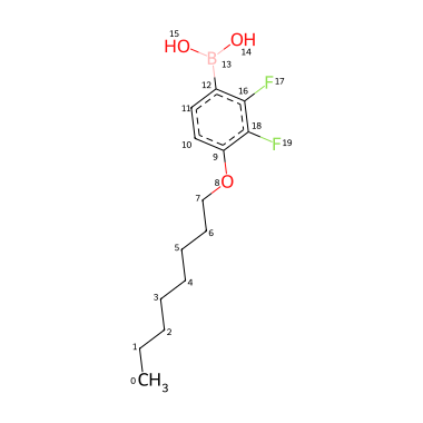 CCCCCCCCOc1ccc(B(O)O)c(F)c1F